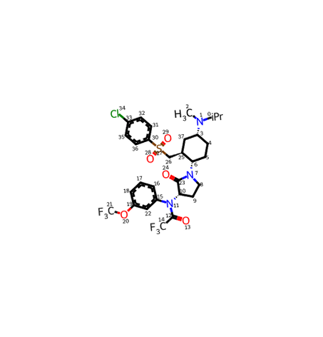 CC(C)N(C)[C@@H]1CC[C@H](N2CC[C@H](N(C(=O)C(F)(F)F)c3cccc(OC(F)(F)F)c3)C2=O)[C@@H](CS(=O)(=O)c2ccc(Cl)cc2)C1